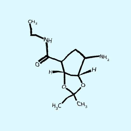 CCNC(=O)C1CC(N)[C@@H]2OC(C)(C)O[C@H]12